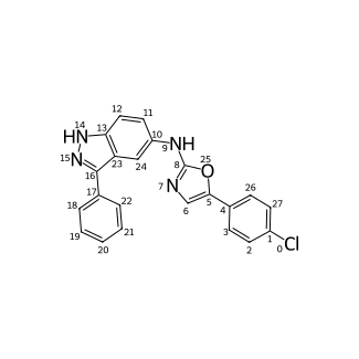 Clc1ccc(-c2cnc(Nc3ccc4[nH]nc(-c5ccccc5)c4c3)o2)cc1